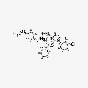 COc1ccc(Cn2nnc(-c3cnn(-c4cccc(Cl)c4Cl)c3SCc3ccccc3)n2)cc1